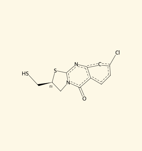 O=c1c2ccc(Cl)cc2nc2n1C[C@@H](CS)S2